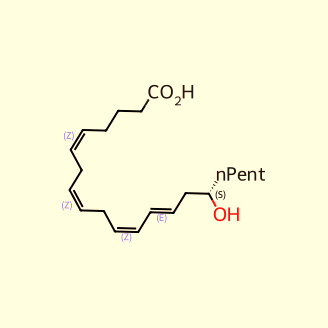 CCCCC[C@H](O)C/C=C/C=C\C/C=C\C/C=C\CCCC(=O)O